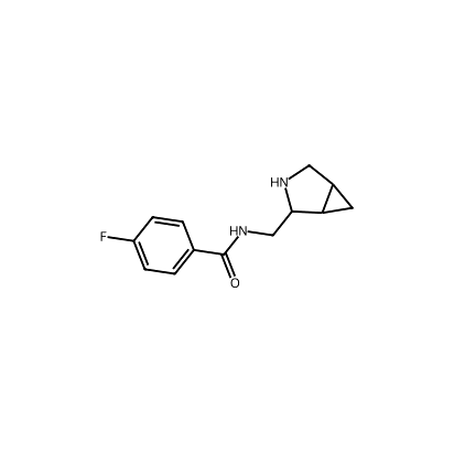 O=C(NCC1NCC2CC21)c1ccc(F)cc1